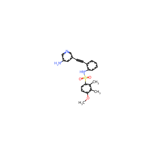 COc1ccc(S(=O)(=O)Nc2ccccc2C#Cc2cncc(N)c2)c(C)c1C